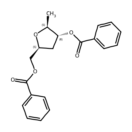 C[C@@H]1O[C@H](COC(=O)c2ccccc2)C[C@H]1OC(=O)c1ccccc1